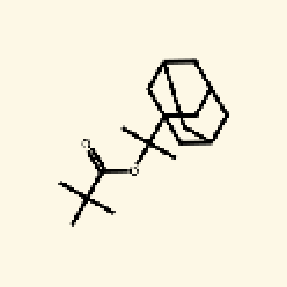 CC(C)(C)C(=O)OC(C)(C)C12CC3CC(CC(C3)C1)C2